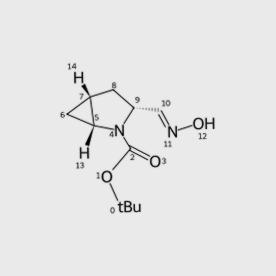 CC(C)(C)OC(=O)N1[C@@H]2C[C@@H]2C[C@@H]1/C=N/O